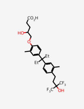 CCC(CC)(c1ccc(CCC(O)(C(F)(F)F)C(F)(F)F)c(C)c1)c1ccc(OCC(O)CCC(=O)O)c(C)c1